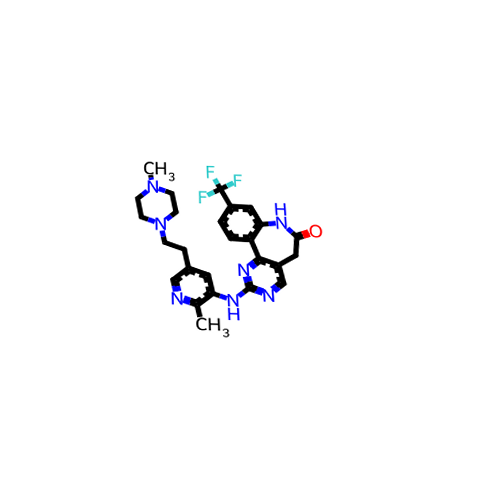 Cc1ncc(CCN2CCN(C)CC2)cc1Nc1ncc2c(n1)-c1ccc(C(F)(F)F)cc1NC(=O)C2